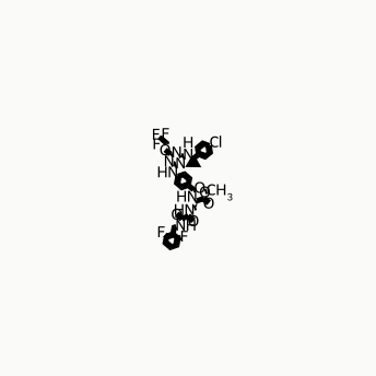 COC(=O)[C@H](CNC(=O)C(=O)NCc1c(F)cccc1F)NC(=O)c1ccc(Nc2nc(NC3(c4ccc(Cl)cc4)CC3)nc(OCC(F)(F)F)n2)cc1